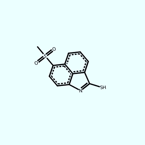 CS(=O)(=O)c1ccc2c3c(cccc13)C(S)=N2